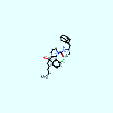 CNC[C@H](CC12CC3CC(CC1C3)C2)NC(=O)N1CCC[C@@H]([C@@](O)(CCCCOC)c2cccc(Cl)c2)C1